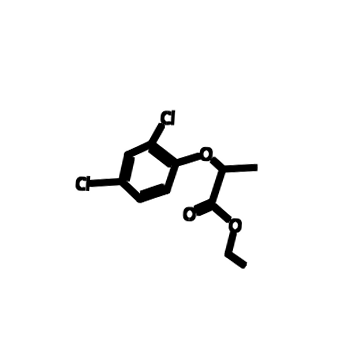 CCOC(=O)C(C)Oc1ccc(Cl)cc1Cl